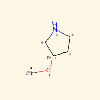 CCO[C@H]1CCNC1